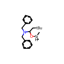 C[SiH](C)OC(CC(C)(C)C)N(Cc1ccccc1)Cc1ccccc1